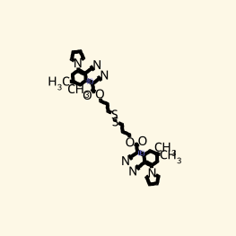 CC1(C)CC(N2CCCC2)=C(C#N)/C(=C(\C#N)C(=O)OCCCSSCCCOC(=O)/C(C#N)=C2\CC(C)(C)CC(N3CCCC3)=C2C#N)C1